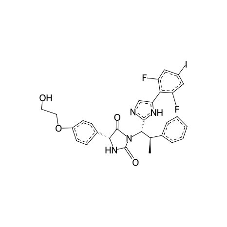 C[C@H](c1ccccc1)[C@@H](c1ncc(-c2c(F)cc(I)cc2F)[nH]1)N1C(=O)N[C@H](c2ccc(OCCO)cc2)C1=O